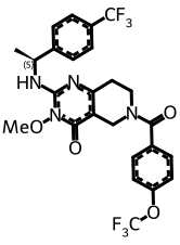 COn1c(N[C@@H](C)c2ccc(C(F)(F)F)cc2)nc2c(c1=O)CN(C(=O)c1ccc(OC(F)(F)F)cc1)CC2